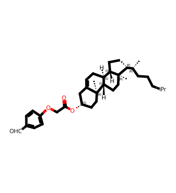 CC(C)CCC[C@@H](C)[C@H]1CC[C@H]2[C@@H]3CC=C4C[C@@H](OC(=O)COc5ccc(C=O)cc5)CC[C@]4(C)[C@H]3CC[C@]12C